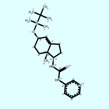 CC(C)(C)[Si](C)(C)O[C@H]1C=C2CC[C@@H](NC(=O)Nc3cccnc3)[C@]2(C)CC1